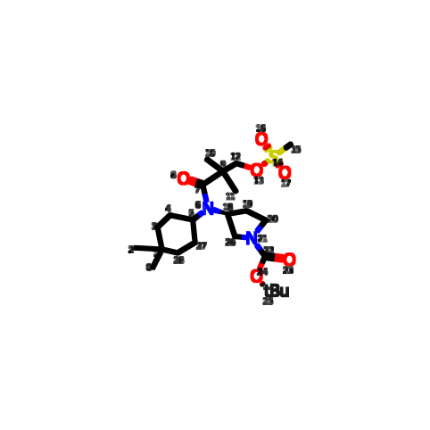 CC1(C)CCC(N(C(=O)C(C)(C)COS(C)(=O)=O)[C@H]2CCN(C(=O)OC(C)(C)C)C2)CC1